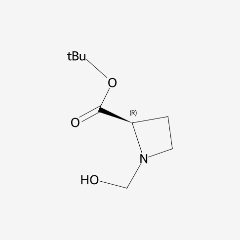 CC(C)(C)OC(=O)[C@H]1CCN1CO